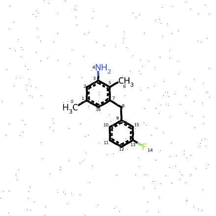 Cc1cc(N)c(C)c(Cc2cccc(F)c2)c1